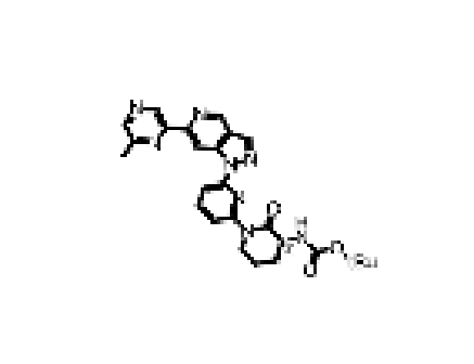 Cc1cncc(-c2cc3c(cn2)cnn3-c2cccc(N3CCC[C@H](NC(=O)OC(C)(C)C)C3=O)n2)n1